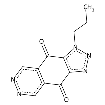 CCCn1nnc2c1C(=O)c1cnncc1C2=O